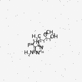 COC(CO)CC(C)n1cc(F)c2c(N)ncnc21